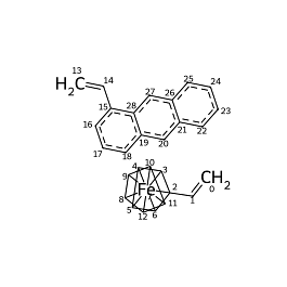 C=C[C]12[CH]3[CH]4[CH]5[CH]1[Fe]45321678[CH]2[CH]1[CH]6[CH]7[CH]28.C=Cc1cccc2cc3ccccc3cc12